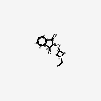 CCN1CC(ON2C(=O)c3ccccc3C2=O)C1